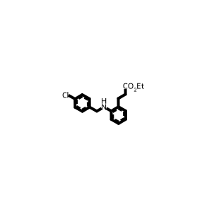 CCOC(=O)CCc1ccccc1NCc1ccc(Cl)cc1